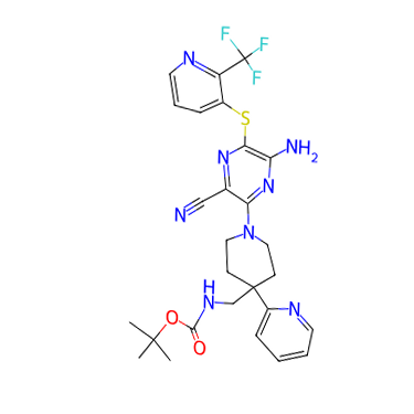 CC(C)(C)OC(=O)NCC1(c2ccccn2)CCN(c2nc(N)c(Sc3cccnc3C(F)(F)F)nc2C#N)CC1